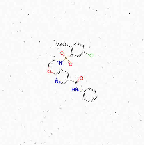 COc1ccc(Cl)cc1S(=O)(=O)N1CCOc2ncc(C(=O)Nc3ccccc3)cc21